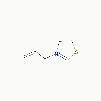 C=C[CH][N+]1=CSCC1